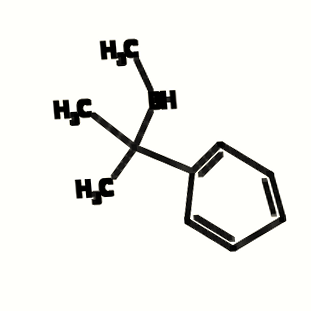 CBC(C)(C)c1ccccc1